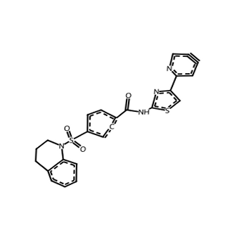 O=C(Nc1nc(-c2cc#ccn2)cs1)c1ccc(S(=O)(=O)N2CCCc3ccccc32)cc1